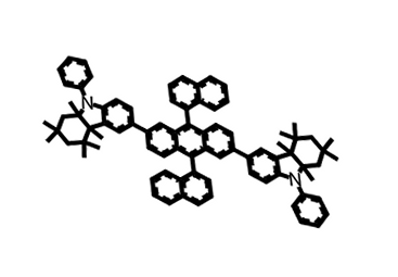 CC1(C)CC(C)(C)C2(C)c3cc(-c4ccc5c(-c6cccc7ccccc67)c6cc(-c7ccc8c(c7)C7(C)C(C)(C)CC(C)(C)CC7(C)N8c7ccccc7)ccc6c(-c6cccc7ccccc67)c5c4)ccc3N(c3ccccc3)C2(C)C1